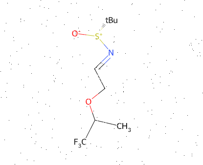 CC(OC/C=N/[S@+]([O-])C(C)(C)C)C(F)(F)F